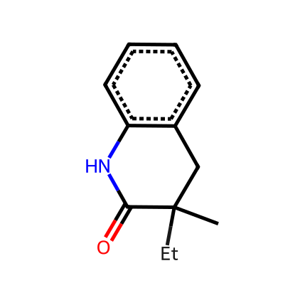 CCC1(C)Cc2ccccc2NC1=O